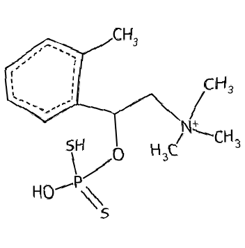 Cc1ccccc1C(C[N+](C)(C)C)OP(O)(=S)S